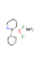 ClOCl.[SeH2].c1ccc(-c2ccccn2)cc1